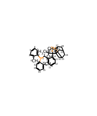 Cc1ccccc1P(Cc1ccccc1C(P)(C(C)(C)C)C12CC3CC(CC(C3)C1)C2)c1ccccc1C